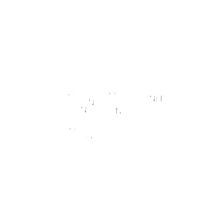 CCOC(=O)c1nn([C@@H](C)C(C)OC)c2c1CCN(C1C3CNCC31)C2=O